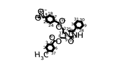 Cc1ccc(C(=O)OCC[N+]2(CCOC(=O)c3ccc([N+](=O)[O-])cc3)C=C(c3ccccc3)NC2=O)cc1